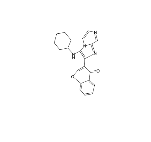 O=c1c(-c2nc3cnccn3c2NC2CCCCC2)coc2ccccc12